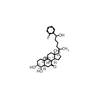 C[C@H](CCCC(O)c1ccccc1F)[C@H]1CC[C@H]2[C@@H]3C(=O)C[C@H]4[C@@H](O)[C@@H](O)CC[C@]4(C)[C@H]3CC[C@]12C